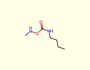 CCCCNC(=O)ONC